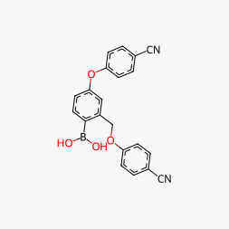 N#Cc1ccc(OCc2cc(Oc3ccc(C#N)cc3)ccc2B(O)O)cc1